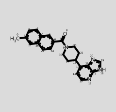 Cc1ccc2cc(C(=O)N3CCC(c4ccnc5[nH]cnc45)CC3)ccc2c1